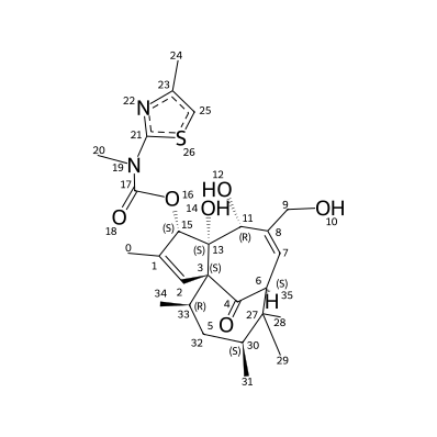 CC1=C[C@]23C(=O)[C@@H](C=C(CO)[C@@H](O)[C@]2(O)[C@H]1OC(=O)N(C)c1nc(C)cs1)C(C)(C)[C@@H](C)C[C@H]3C